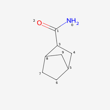 NC(=O)C1CC2CCC1C2